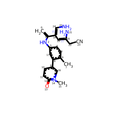 C=C(Nc1ccc(C)c(-c2ccc(=O)n(C)c2)c1)C(/C=C(\N)CC#N)=C/N